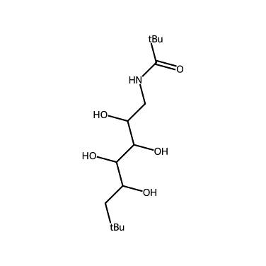 CC(C)(C)CC(O)C(O)C(O)C(O)CNC(=O)C(C)(C)C